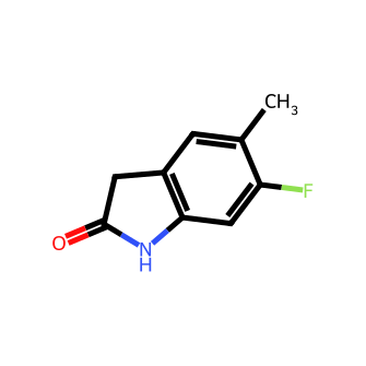 Cc1cc2c(cc1F)NC(=O)C2